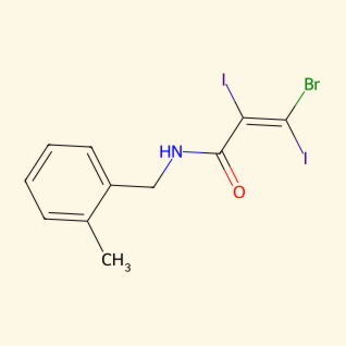 Cc1ccccc1CNC(=O)/C(I)=C(/Br)I